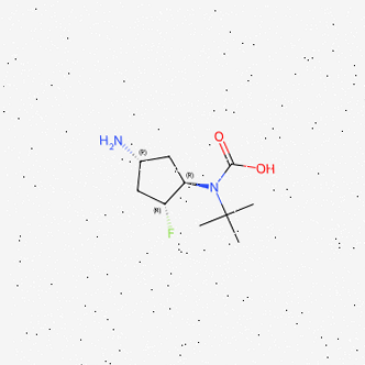 CC(C)(C)N(C(=O)O)[C@@H]1C[C@@H](N)C[C@H]1F